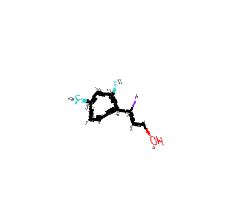 OC/C=C(\I)c1ccc(F)cc1F